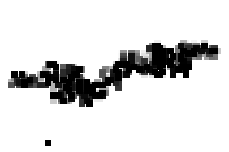 COC(=O)NC(C(=O)N1CCC[C@H]1c1ncc(-c2ccc3oc(-c4ccc5nc([C@@H]6CCCN6C(=O)C(NC(=O)OC)C(C)C)[nH]c5c4)nc3c2)[nH]1)C(C)C